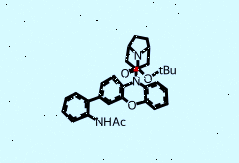 CC(=O)Nc1ccccc1-c1ccc2c(c1)Oc1ccccc1N2C1CC2CCC(C1)N2C(=O)OC(C)(C)C